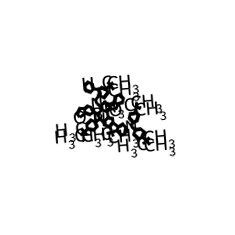 CC(C)(C)c1ccc(N2B3c4cc5occc5cc4N(Cc4ccc(C(C)(C)C)cc4-c4ccccc4)c4cc5c(oc6ccccc65)c(c43)-c3cc4c(cc32)C(C)(C)c2ccc(N(c3ccc(C(C)(C)C)cc3)c3ccc(C(C)(C)C)cc3)cc2-4)cc1